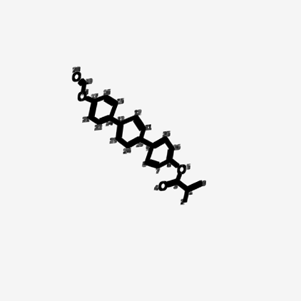 C=C(C)C(=O)Oc1ccc(-c2ccc(-c3ccc(OC=O)cc3)cc2)cc1